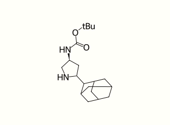 CC(C)(C)OC(=O)N[C@@H]1CNC(C2C3CC4CC(C3)CC2C4)C1